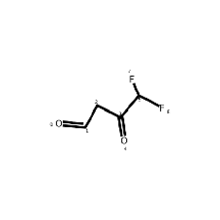 O=CCC(=O)C(F)F